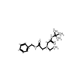 CCN(CC(=O)OCc1ccccc1)CC(=O)OC(C)(C)C